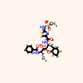 C[C@@H](NC(=O)c1ccccc1)[C@@H](O)[C@H](O)[C@H](Cc1ccccc1)NC(=O)c1csc(NS(C)(=O)=O)n1